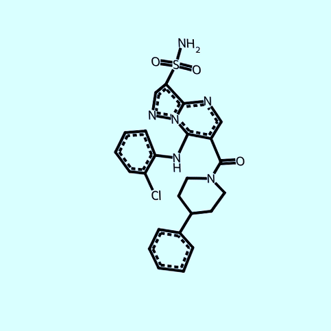 NS(=O)(=O)c1cnn2c(Nc3ccccc3Cl)c(C(=O)N3CCC(c4ccccc4)CC3)cnc12